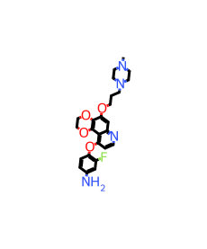 CN1CCN(CCCOc2cc3nccc(Oc4ccc(N)cc4F)c3c3c2OCCO3)CC1